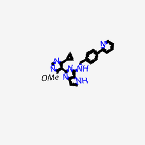 COc1ncnc(C2CC2)c1-c1nc(NCc2ccc(-c3ccccn3)cc2)c2[nH]ccc2n1